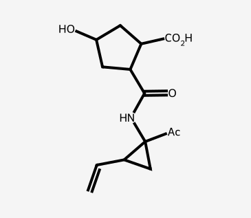 C=CC1CC1(NC(=O)C1CC(O)CC1C(=O)O)C(C)=O